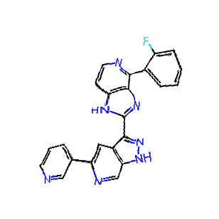 Fc1ccccc1-c1nccc2[nH]c(-c3n[nH]c4cnc(-c5cccnc5)cc34)nc12